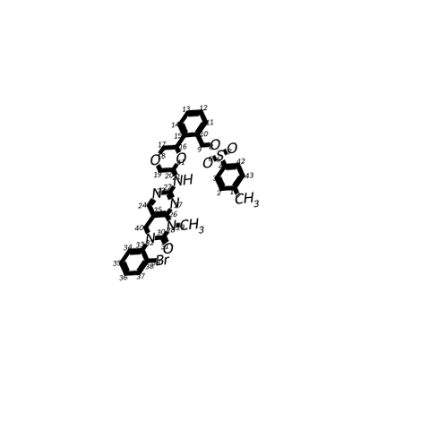 Cc1ccc(S(=O)(=O)OCc2ccccc2C2COCC(Nc3ncc4c(n3)N(C)C(=O)N(c3ccccc3Br)C4)O2)cc1